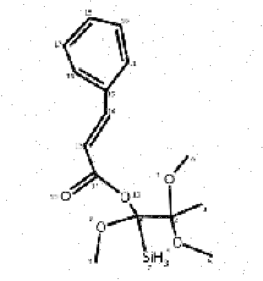 COC(C)(OC)C([SiH3])(OC)OC(=O)C=Cc1ccccc1